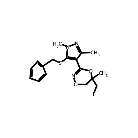 Cc1nn(C)c(SCc2ccccc2)c1C1=NOCC(C)(CI)O1